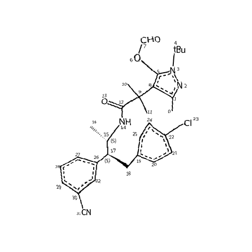 Cc1nn(C(C)(C)C)c(OC=O)c1C(C)(C)C(=O)N[C@@H](C)[C@@H](Cc1ccc(Cl)cc1)c1cccc(C#N)c1